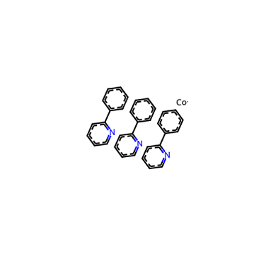 [Co].c1ccc(-c2ccccn2)cc1.c1ccc(-c2ccccn2)cc1.c1ccc(-c2ccccn2)cc1